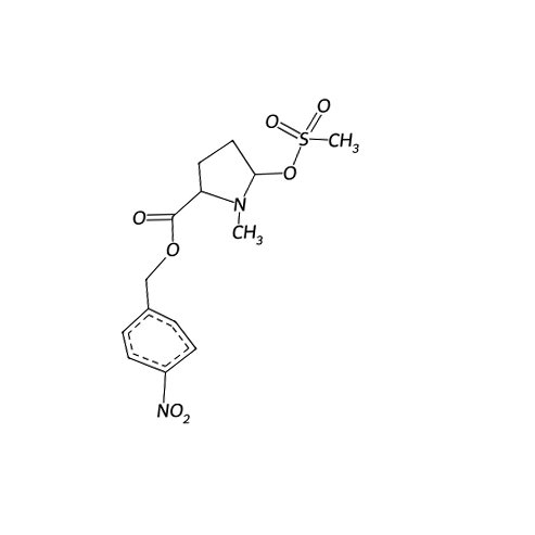 CN1C(OS(C)(=O)=O)CCC1C(=O)OCc1ccc([N+](=O)[O-])cc1